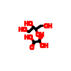 O=C(O)C(=O)O.OCC(O)C(O)CO